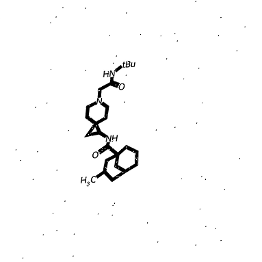 CC1CC2CCCC(C(=O)NC3CC34CCN(CC(=O)NC(C)(C)C)CC4)(C1)C2